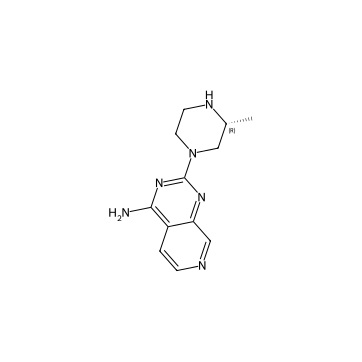 C[C@@H]1CN(c2nc(N)c3ccncc3n2)CCN1